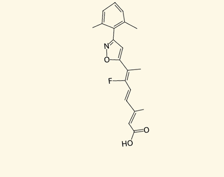 C\C(=C(F)/C=C/C(C)=C/C(=O)O)c1cc(-c2c(C)cccc2C)no1